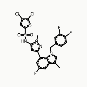 Cc1cn(Cc2ccc(F)c(F)c2)c2c(-c3cc(NS(=O)(=O)c4cc(Cl)c(Cl)s4)n(C)n3)cc(F)cc12